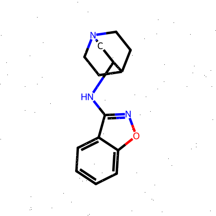 c1ccc2c(NC3CN4CCC3CC4)noc2c1